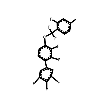 Cc1ccc(C(F)(F)Oc2ccc(-c3cc(F)c(F)c(F)c3)c(F)c2F)c(F)c1